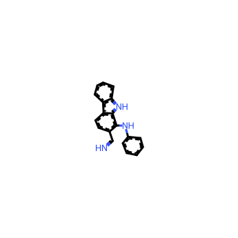 N=Cc1ccc2c([nH]c3ccccc32)c1Nc1ccccc1